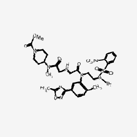 COC(=O)N1CCC(N(C)C(=O)CNCC(=O)N(CCN(C(C)C)S(=O)(=O)c2ccccc2[N+](=O)[O-])c2cc(-c3noc(C)n3)ccc2C)CC1